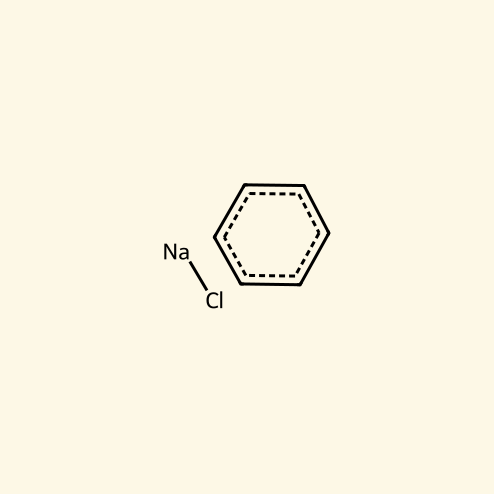 [Na][Cl].c1ccccc1